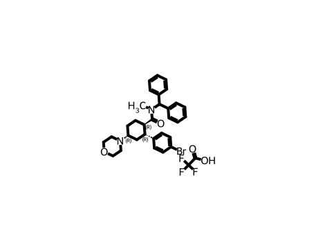 CN(C(=O)[C@@H]1CC[C@@H](N2CCOCC2)C[C@H]1c1ccc(Br)cc1)C(c1ccccc1)c1ccccc1.O=C(O)C(F)(F)F